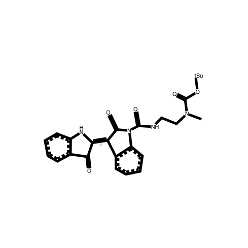 CN(CCNC(=O)N1C(=O)/C(=C2\Nc3ccccc3C2=O)c2ccccc21)C(=O)OC(C)(C)C